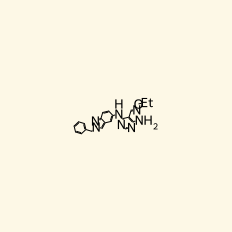 CCO/N=C/c1c(N)ncnc1Nc1ccc2nn(Cc3ccccc3)cc2c1